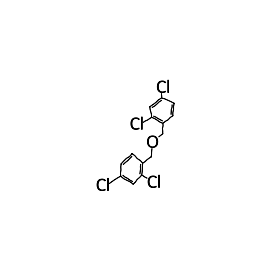 Clc1ccc(COCc2ccc(Cl)cc2Cl)c(Cl)c1